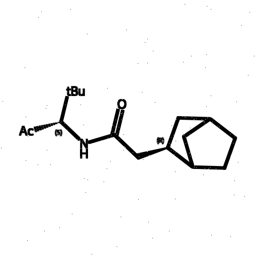 CC(=O)[C@@H](NC(=O)C[C@H]1CC2CCC1C2)C(C)(C)C